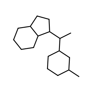 CC1CCCC(C(C)C2CCC3CCCCC32)C1